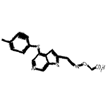 Cc1ccc(Sc2cncc3sc(C=NOCC(=O)O)cc23)cc1